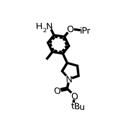 Cc1cc(N)c(OC(C)C)cc1C1CCN(C(=O)OC(C)(C)C)C1